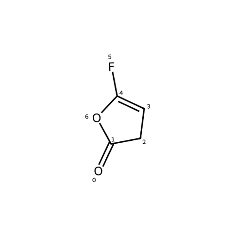 O=C1CC=C(F)O1